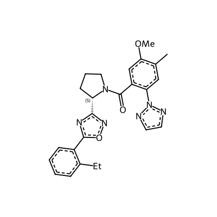 CCc1ccccc1-c1nc([C@@H]2CCCN2C(=O)c2cc(OC)c(C)cc2-n2nccn2)no1